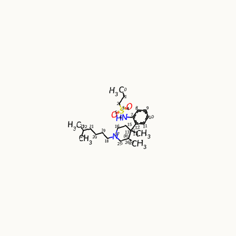 CCCS(=O)(=O)Nc1ccccc1[C@@]1(C)CCN(CCCCC(C)C)C[C@@H]1C